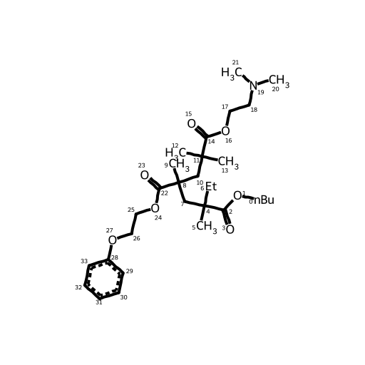 CCCCOC(=O)C(C)(CC)CC(C)(CC(C)(C)C(=O)OCCN(C)C)C(=O)OCCOc1ccccc1